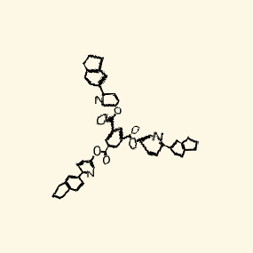 O=C(Oc1ccc(-c2ccc3c(c2)CCC3)nc1)c1cc(C(=O)Oc2ccc(-c3ccc4c(c3)CCC4)nc2)cc(C(=O)Oc2ccc(-c3ccc4c(c3)CCC4)nc2)c1